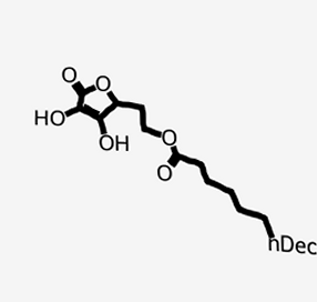 CCCCCCCCCCCCCCCC(=O)OCCC1OC(=O)C(O)=C1O